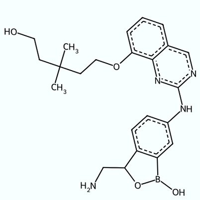 CC(C)(CCO)CCOc1cccc2cnc(Nc3ccc4c(c3)B(O)OC4CN)nc12